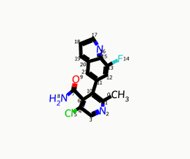 Cc1ncc(Cl)c(C(N)=O)c1-c1cc(F)c2ncccc2c1